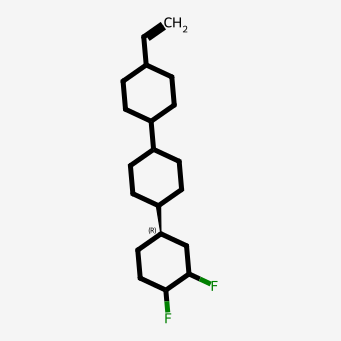 C=CC1CCC(C2CCC([C@@H]3CCC(F)C(F)C3)CC2)CC1